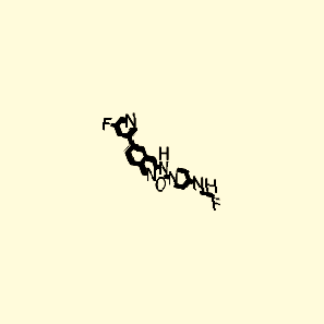 O=C(Nc1cc2cc(-c3cncc(F)c3)ccc2cn1)N1CCC(NCCF)CC1